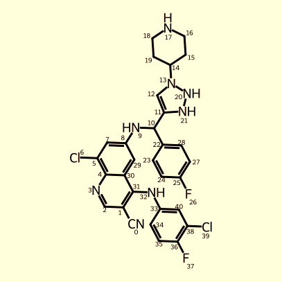 N#Cc1cnc2c(Cl)cc(NC(C3=CN(C4CCNCC4)NN3)c3ccc(F)cc3)cc2c1Nc1ccc(F)c(Cl)c1